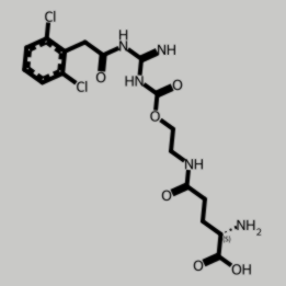 N=C(NC(=O)Cc1c(Cl)cccc1Cl)NC(=O)OCCNC(=O)CC[C@H](N)C(=O)O